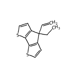 C=CC1(CC)c2ccsc2-c2sccc21